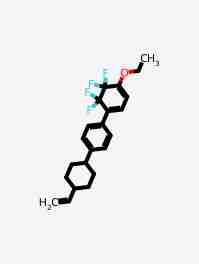 C=CC1CCC(c2ccc(C3=CC=C(OCC)C(F)(F)C3(F)F)cc2)CC1